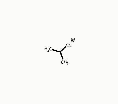 CC(C)C#N.[W]